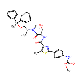 Cc1sc(-c2ccc(NC(=O)OC(C)(C)C)cc2)nc1C(=O)NC(CO)C(=O)N(C)C(CO[Si](c1ccccc1)(c1ccccc1)C(C)(C)C)C(=O)O